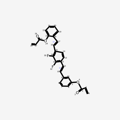 C=CC(=O)Oc1cccc(/C=C/c2ccc(/C=C/c3ccccc3OC(=O)C=C)c(F)c2F)c1